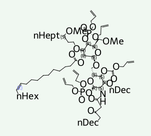 C=CCOC(=O)O[C@H]1[C@H](OCCCCCCCCCC)[C@H](NC(=O)CC(=O)CCCCCCCCCCC)[C@@H](OP(=O)(OCC=C)OCC=C)O[C@@H]1CO[C@@H]1O[C@H](COC)[C@@H](OP(=O)(OCC=C)OCC=C)[C@H](OCC[C@H](CCCCCCC)OC)[C@H]1OC(=O)CCCCCCCCC/C=C\CCCCCC